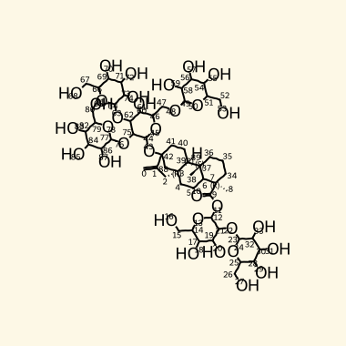 C=C1C[C@@]23CCC4[C@](C)(C(=O)OC5OC(CO)C(O)C(O)C5OC5OC(CO)C(O)C(O)C5O)CCC[C@@]4(C)[C@@H]2CCC1(OC1OC(COC2OC(CO)C(O)C(O)C2O)C(O)C(OC2OC(CO)C(O)C(O)C2O)C1OC1OC(CO)C(O)C(O)C1O)C3